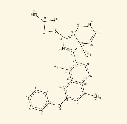 Cc1cc(Oc2ccccc2)nc2c(F)c(C3=NC(C4CC(O)C4)=C4C=NC=C[N+]34N)ccc12